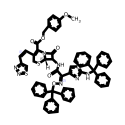 COc1ccc(COC(=O)C2=C(/C=C\c3csnn3)CS[C@H]3C(NC(=O)/C(=N\OC(c4ccccc4)(c4ccccc4)c4ccccc4)c4csc(NC(c5ccccc5)(c5ccccc5)c5ccccc5)n4)C(=O)N23)cc1